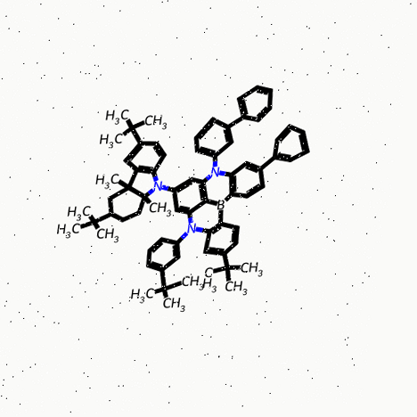 CC(C)(C)c1cccc(N2c3cc(C(C)(C)C)ccc3B3c4ccc(-c5ccccc5)cc4N(c4cccc(-c5ccccc5)c4)c4cc(N5c6ccc(C(C)(C)C)cc6C6(C)CC(C(C)(C)C)CCC56C)cc2c43)c1